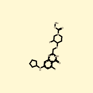 CC(C)(C)OC(=O)N1CCC(SCc2nc3cc(NC4CCCC4)cc(F)c3c(=O)[nH]2)C(F)C1